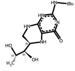 C[C@H](O)[C@H](O)[C@H]1CNc2[nH]c(NC(C)(C)C)nc(=O)c2N1